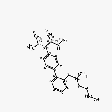 CCNCCN(C)Cc1ccccc1-c1ccc([C@@H]([C@H](C)NC(C)C)N(C)C)cc1